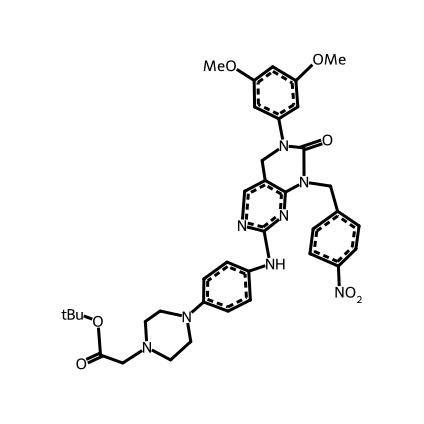 COc1cc(OC)cc(N2Cc3cnc(Nc4ccc(N5CCN(CC(=O)OC(C)(C)C)CC5)cc4)nc3N(Cc3ccc([N+](=O)[O-])cc3)C2=O)c1